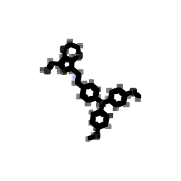 COc1ccc(N(c2ccc(/C=C/c3sc(C=O)c4c3OCCO4)cc2)c2ccc(OC)cc2)cc1